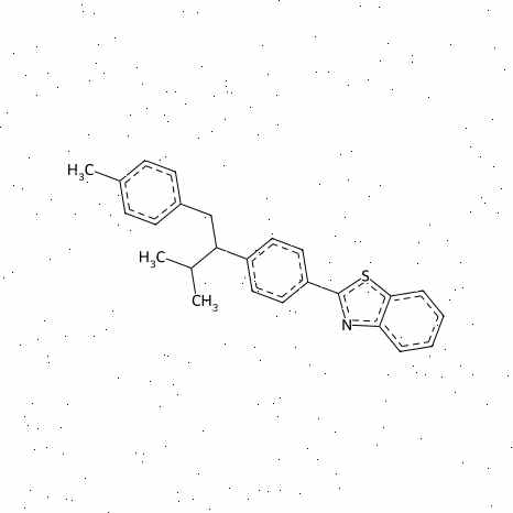 Cc1ccc(CC(c2ccc(-c3nc4ccccc4s3)cc2)C(C)C)cc1